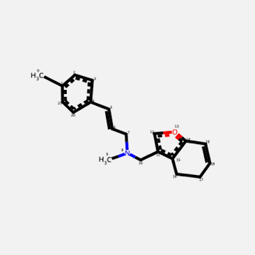 Cc1ccc(/C=C/CN(C)Cc2coc3c2CCC=C3)cc1